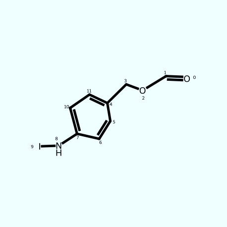 O=COCc1ccc(NI)cc1